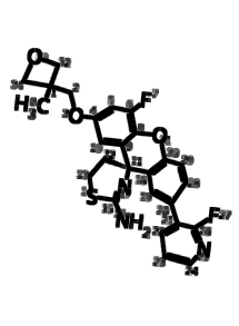 CC1(COc2cc(F)c3c(c2)[C@]2(CCSC(N)=N2)c2cc(-c4cccnc4F)ccc2O3)COC1